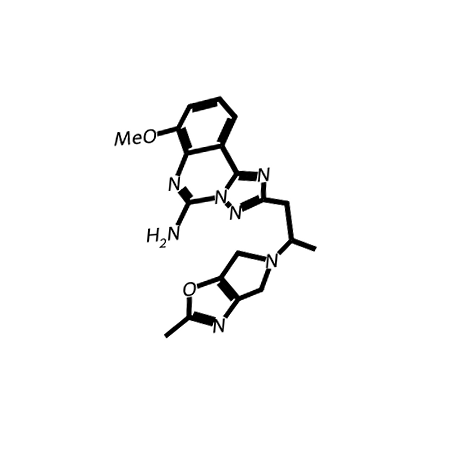 COc1cccc2c1nc(N)n1nc(CC(C)N3Cc4nc(C)oc4C3)nc21